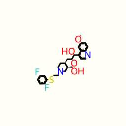 COc1ccc2nccc([C@H](O)CC[C@@H]3CCN(CCSc4cc(F)ccc4F)C[C@@H]3C(=O)O)c2c1